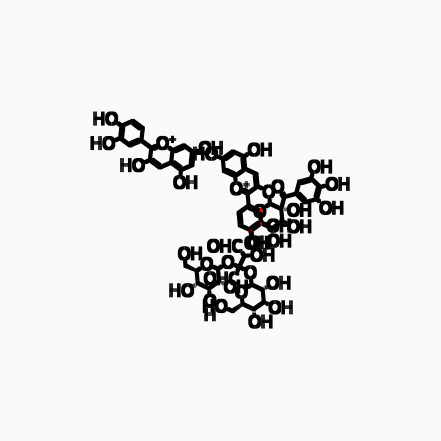 O=C(c1cc(O)c(O)c(O)c1)[C@]1(O)C(Oc2cc3c(O)cc(O)cc3[o+]c2-c2ccc(O)c(O)c2)O[C@H](CO)[C@@H](O)[C@@H]1O.O=CC(O)C(C=O)(OC1O[C@H](CO)[C@@H](O)[C@H](O)[C@H]1O)OC1O[C@H](CO)[C@@H](O)[C@H](O)[C@H]1O.Oc1cc(O)c2cc(O)c(-c3ccc(O)c(O)c3)[o+]c2c1